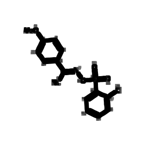 COc1ccc(C(C#N)=NOS(=O)(=O)c2ccccc2Cl)cc1